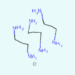 NCCN.NCCN.NCCN.[Cr]